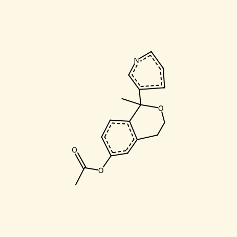 CC(=O)Oc1ccc2c(c1)CCOC2(C)c1cccnc1